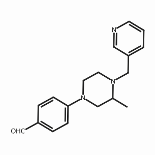 CC1CN(c2ccc(C=O)cc2)CCN1Cc1cccnc1